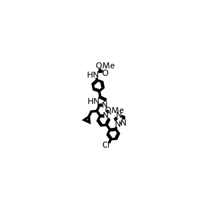 COC(=O)Nc1ccc(-c2cnc(C(CC3CC3)c3ccc(-c4cc(Cl)ccc4-n4cncn4)c[n+]3OC)[nH]2)cc1